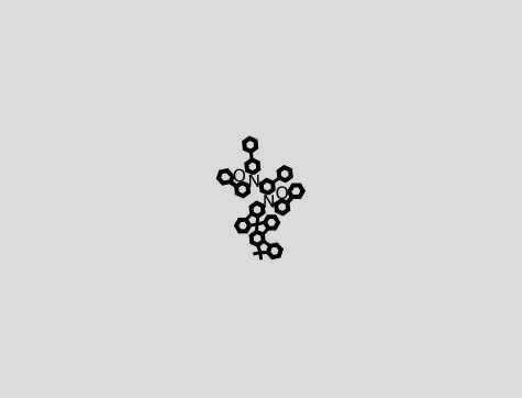 CC1(C)c2ccccc2-c2c1ccc1c2-c2ccccc2C12c1ccccc1-c1ccc(N(c3cc(-c4ccccc4)cc(N(c4ccc(-c5ccccc5)cc4)c4cccc5c4oc4ccccc45)c3)c3cccc4c3oc3ccccc34)cc12